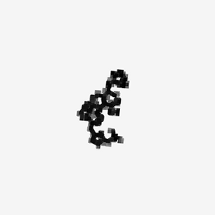 CO[C@@]1(NC(=O)Cc2ccc(CN(C)C)s2)C(=O)N2C(C(=O)O)=C(C(C)Sc3nnn[nH]3)CS[C@H]21